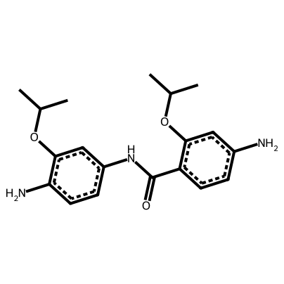 CC(C)Oc1cc(NC(=O)c2ccc(N)cc2OC(C)C)ccc1N